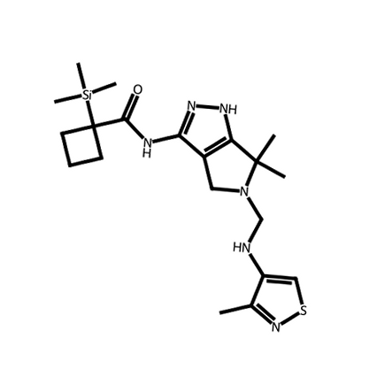 Cc1nscc1NCN1Cc2c(NC(=O)C3([Si](C)(C)C)CCC3)n[nH]c2C1(C)C